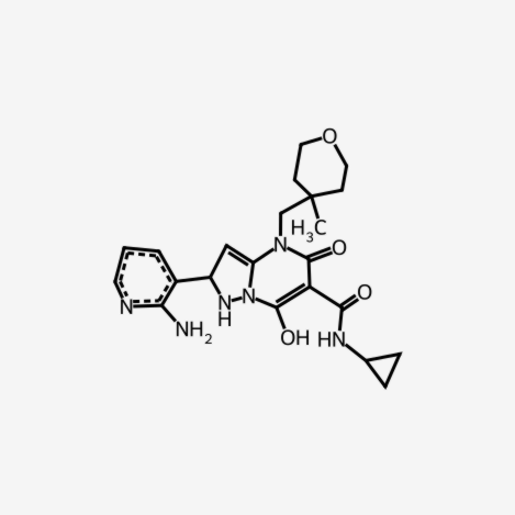 CC1(CN2C(=O)C(C(=O)NC3CC3)=C(O)N3NC(c4cccnc4N)C=C23)CCOCC1